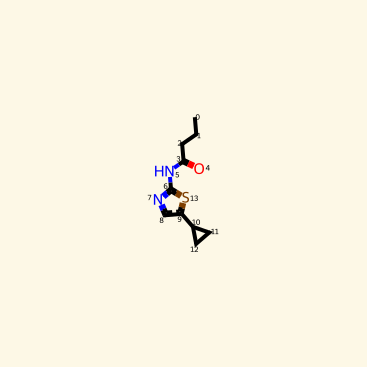 CCCC(=O)Nc1ncc(C2CC2)s1